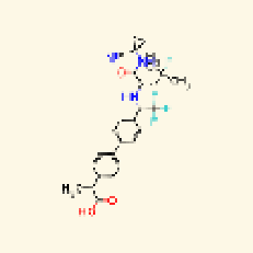 CC(C(=O)O)c1ccc(-c2ccc([C@H](N[C@@H](CC(C)(C)F)C(=O)NC3(C#N)CC3)C(F)(F)F)cc2)cc1